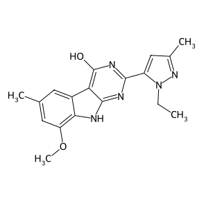 CCn1nc(C)cc1-c1nc(O)c2c(n1)[nH]c1c(OC)cc(C)cc12